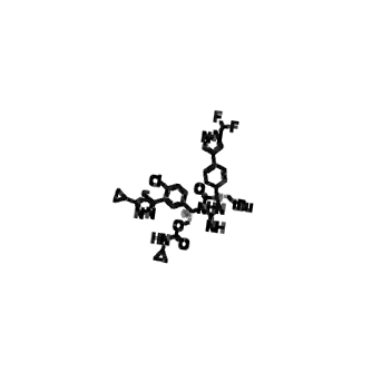 CC(C)(C)C[C@]1(C2C=CC(c3cnn(C(F)F)c3)=CC2)NC(=N)N([C@H](COC(=O)NC2CC2)c2ccc(Cl)c(-c3nnc(C4CC4)s3)c2)C1=O